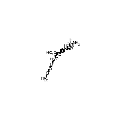 CCNCCCOCCOCCOCCCNC(=O)CC[C@@H](CC(=O)c1ccc(NCc2cnc3nc(N)[nH]c(=O)c3n2)cc1)C(=O)O